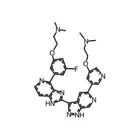 CN(C)CCOc1cncc(-c2cc3c(-c4nc5c(-c6cc(F)cc(OCCN(C)C)c6)nccc5[nH]4)n[nH]c3cn2)c1